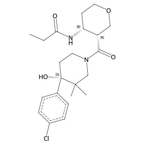 CCC(=O)N[C@@H]1CCOC[C@@H]1C(=O)N1CC[C@](O)(c2ccc(Cl)cc2)C(C)(C)C1